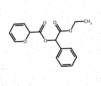 CCOC(=O)C(OC(=O)C1C=CC=CO1)c1ccccc1